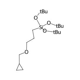 CC(C)(C)O[Si](CCCOCC1CC1)(OC(C)(C)C)OC(C)(C)C